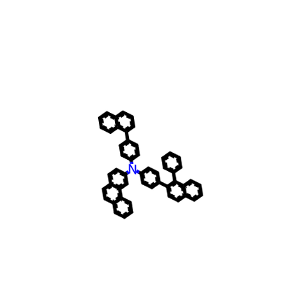 c1ccc(-c2c(-c3ccc(N(c4ccc(-c5cccc6ccccc56)cc4)c4ccc5ccc6ccccc6c5c4)cc3)ccc3ccccc23)cc1